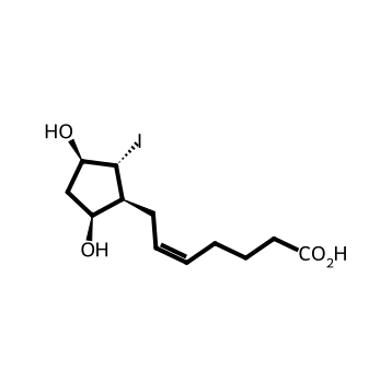 O=C(O)CCC/C=C\C[C@@H]1[C@@H](I)[C@H](O)C[C@@H]1O